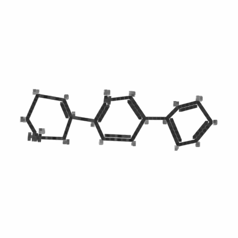 C1=C(c2ccc(-c3ccccc3)cn2)CNCC1